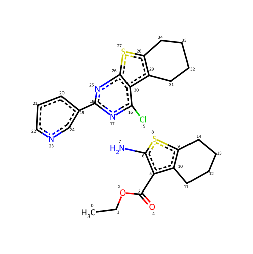 CCOC(=O)c1c(N)sc2c1CCCC2.Clc1nc(-c2cccnc2)nc2sc3c(c12)CCCC3